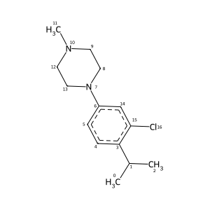 CC(C)c1ccc(N2CCN(C)CC2)cc1Cl